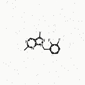 Cc1ncc2c(C)nn(Cc3cccc(F)c3F)c2n1